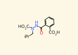 CC(C)CN(NC(=O)c1ccccc1C(=O)O)C(=O)O